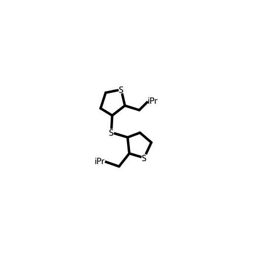 CC(C)CC1SCCC1SC1CCSC1CC(C)C